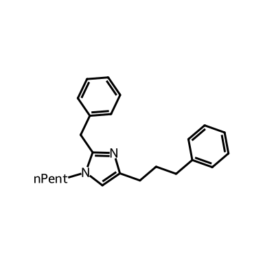 CCCCCn1cc(CCCc2ccccc2)nc1Cc1ccccc1